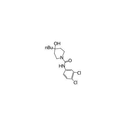 CCCCC1(O)CCN(C(=O)Nc2ccc(Cl)c(Cl)c2)CC1